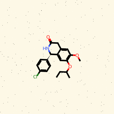 CCC(C)Oc1cc2c(cc1OC)CC(=O)N[C@H]2c1ccc(Cl)cc1